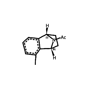 CC(=O)N1[C@@H]2CC[C@H]1c1cccc(C)c12